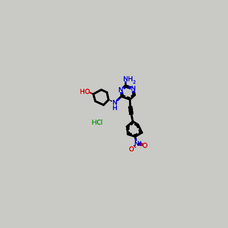 Cl.Nc1ncc(C#Cc2ccc([N+](=O)[O-])cc2)c(N[C@H]2CC[C@H](O)CC2)n1